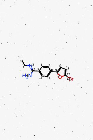 CC/N=C(\N)c1ccc(-c2ccc(Br)o2)cc1